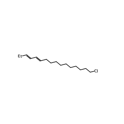 CCC=CC=CCCCCCCCCCCCl